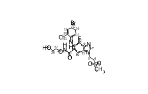 CS(=O)(=O)CCn1cnc2c(F)c(NC3=CCC(Br)C=C3Cl)c(C(=O)NOCCO)cc21